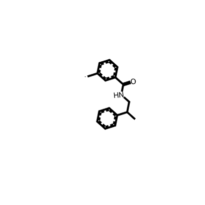 [CH2]c1cccc(C(=O)NCC(C)c2ccccc2)c1